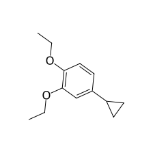 CCOc1ccc(C2CC2)cc1OCC